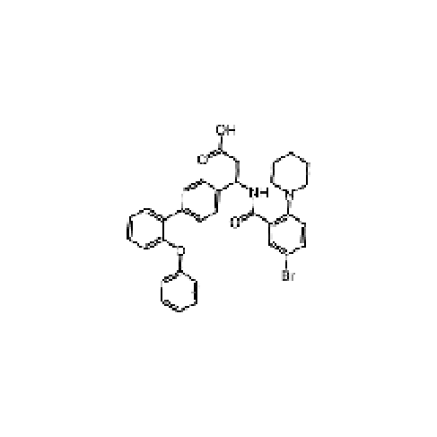 O=C(O)CC(NC(=O)c1cc(Br)ccc1N1CCCCC1)c1ccc(-c2ccccc2Oc2ccccc2)cc1